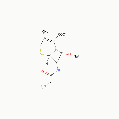 CC1=C(C(=O)[O-])N2C(=O)C(NC(=O)C[N+](=O)[O-])[C@H]2SC1.[Na+]